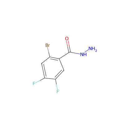 NNC(=O)c1cc(F)c(F)cc1Br